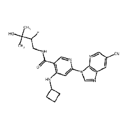 CC(C)(O)C(F)CNC(=O)c1cnc(-n2cnc3cc(C#N)cnc32)cc1NC1CCC1